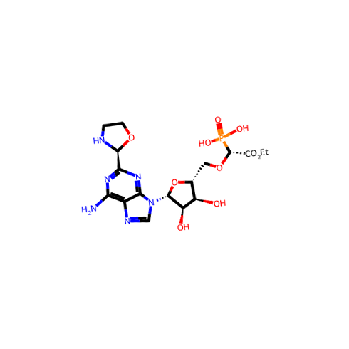 CCOC(=O)[C@H](OC[C@H]1O[C@@H](n2cnc3c(N)nc([C@H]4NCCO4)nc32)[C@H](O)[C@@H]1O)P(=O)(O)O